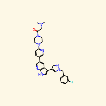 CN(C)CC(=O)N1CCN(c2ccc(-c3cnc4[nH]cc(-c5cnn(Cc6cccc(F)c6)c5)c4c3)cn2)CC1